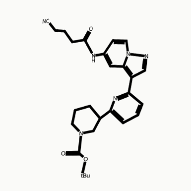 CC(C)(C)OC(=O)N1CCCC(c2cccc(-c3cnn4ccc(NC(=O)CCCC#N)cc34)n2)C1